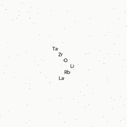 [La].[Li].[O].[Rb].[Ta].[Zr]